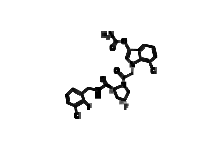 NC(=O)Oc1cn(CC(=O)N2C[C@H](F)C[C@H]2C(=O)NCc2cccc(Cl)c2F)c2c(Cl)cccc12